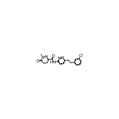 CN1N=C(C(=O)Nc2ccc(CCc3cccc(Cl)c3)nn2)CCC1=O